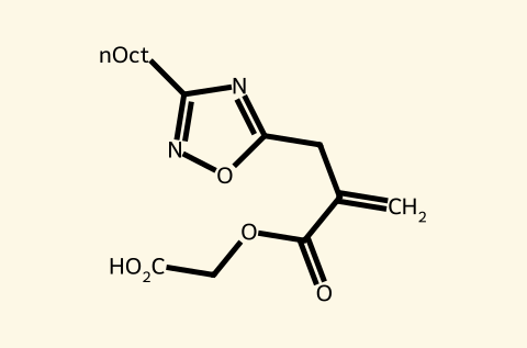 C=C(Cc1nc(CCCCCCCC)no1)C(=O)OCC(=O)O